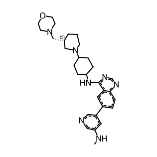 CNc1cncc(-c2ccc3ncnc(NC4CCC(N5CCC[C@@H](CN6CCOCC6)C5)CC4)c3c2)c1